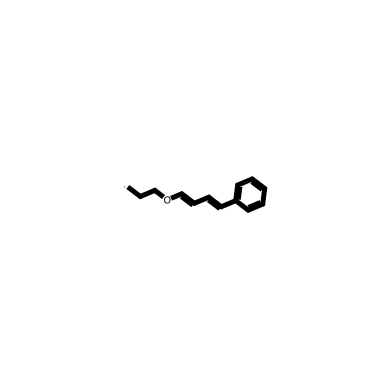 [CH2]CCOC=CC=Cc1ccccc1